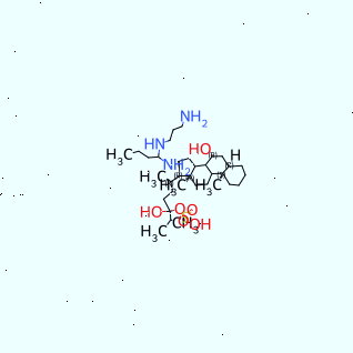 CC(C)C(O)(CC[C@@H](C)[C@H]1CCC2C3C(CC[C@@]21C)[C@@]1(C)CCCC[C@@H]1C[C@H]3O)OS(=O)(=O)O.CCCC(N)NCCCN